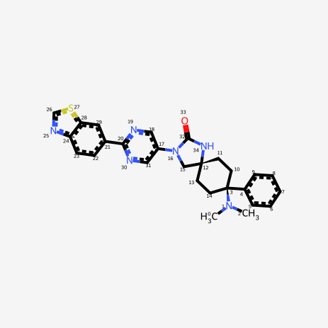 CN(C)[C@]1(c2ccccc2)CC[C@@]2(CC1)CN(c1cnc(-c3ccc4ncsc4c3)nc1)C(=O)N2